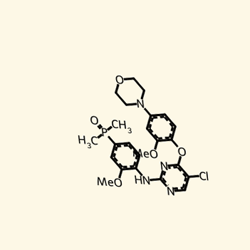 COc1cc(P(C)(C)=O)ccc1Nc1ncc(Cl)c(Oc2ccc(N3CCOCC3)cc2OC)n1